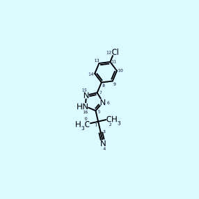 CC(C)(C#N)c1nc(-c2ccc(Cl)cc2)n[nH]1